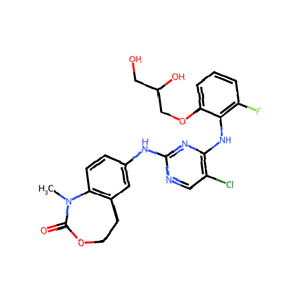 CN1C(=O)OCCc2cc(Nc3ncc(Cl)c(Nc4c(F)cccc4OCC(O)CO)n3)ccc21